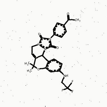 CC(=O)c1ccc(-n2c(=O)n3n(c2=O)C2C(=CC3)C(C)(C)Oc3cc(NCC(F)(F)F)ccc32)cc1